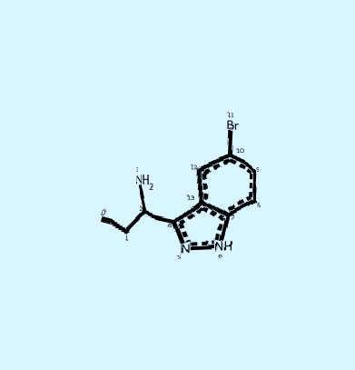 C[CH]C(N)c1n[nH]c2ccc(Br)cc12